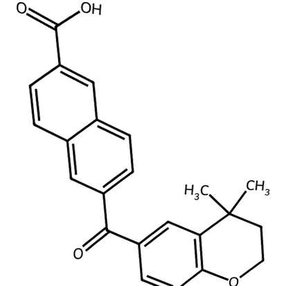 CC1(C)CCOc2ccc(C(=O)c3ccc4cc(C(=O)O)ccc4c3)cc21